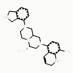 C[C@@H]1CN(c2ccc(C#N)c3c2C=CCN3)CC2CN(c3cccc4c3CNC4)CCN21